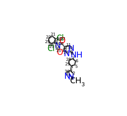 Cn1cc(-c2ccc(Nc3ncc4c(n3)OCN(c3c(Cl)cccc3Cl)C4=O)cc2)cn1